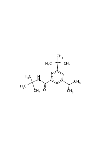 CC(C)c1cc(C(=O)NC(C)(C)C)nc(C(C)(C)C)c1